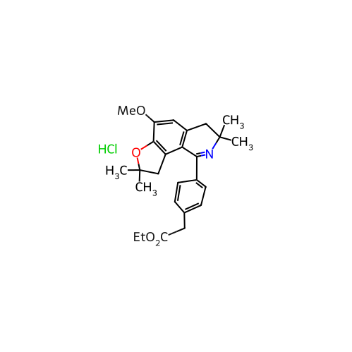 CCOC(=O)Cc1ccc(C2=NC(C)(C)Cc3cc(OC)c4c(c32)CC(C)(C)O4)cc1.Cl